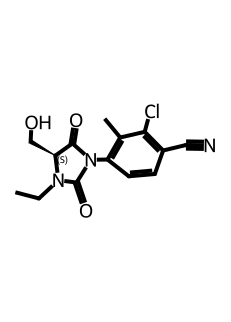 CCN1C(=O)N(c2ccc(C#N)c(Cl)c2C)C(=O)[C@@H]1CO